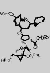 C=CC1C[C@]1(NC(=O)[C@@H]1CC(Oc2cc(-c3ccccc3)nc3cc(OC)ccc23)CN1C(=O)OC(C)(C)C)C(=O)OCC